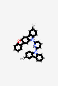 N#Cc1ccc2c(c1)c1ccccc1n2-c1cccc(-n2c3ccc(C#N)cc3c3cc4oc5ccccc5c4cc32)n1